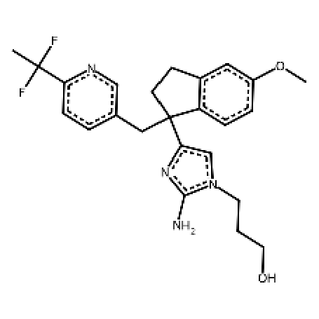 COc1ccc2c(c1)CCC2(Cc1ccc(C(C)(F)F)nc1)c1cn(CCCO)c(N)n1